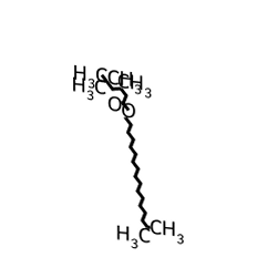 CC(C)CCCCCCCCCCCCCCCOC(=O)CC(C)CC(C)(C)C